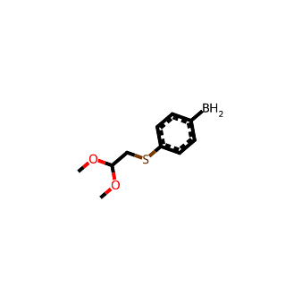 Bc1ccc(SCC(OC)OC)cc1